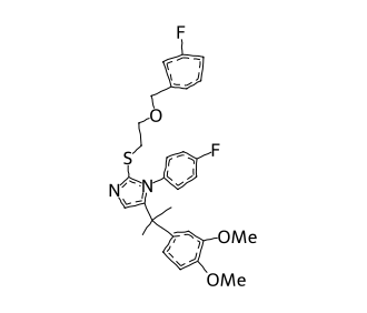 COc1ccc(C(C)(C)c2cnc(SCCOCc3cccc(F)c3)n2-c2ccc(F)cc2)cc1OC